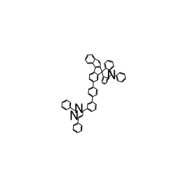 c1ccc(-c2cc(-c3cccc(-c4ccc(-c5ccc6c(c5)C5(c7ccccc7N(c7ccccc7)c7ccccc75)c5ccc7ccccc7c5-6)cc4)c3)nc(-c3ccccc3)n2)cc1